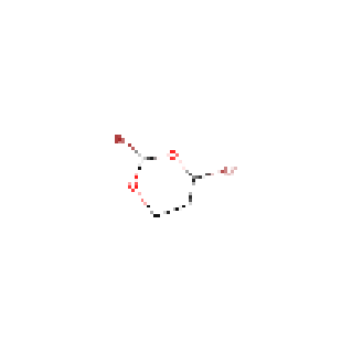 BrC1CCOC(Br)O1